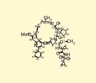 C=C[C@@H]1C[C@]1(NC(=O)[C@@H]1C[C@@H]2CN1C(=O)[C@H](C1CCCC1)NC(=O)OCC(C)CC/C=C/c1cc3c(cc(-c4ccccc4)nc3cc1OC)O2)C(=O)NS(=O)(=O)C1CC1